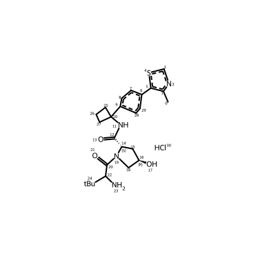 Cc1ncsc1-c1ccc(C2(NC(=O)[C@@H]3C[C@@H](O)CN3C(=O)C(N)C(C)(C)C)CCC2)cc1.Cl